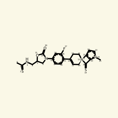 CC(=S)NCC1CN(c2ccc(C3=CC[N@+]4(CC3)C(=S)c3c4ccn3C)c(F)c2)C(=O)O1